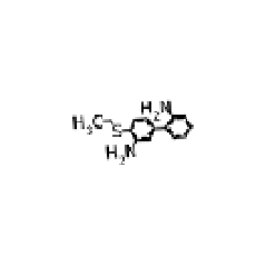 CCSc1ccc(-c2ccccc2N)cc1N